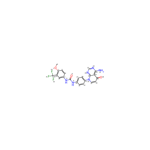 COc1ccc(NC(=O)Nc2ccc(-n3ccc(=O)c4c(N)ncnc43)cc2)cc1C(F)(F)F